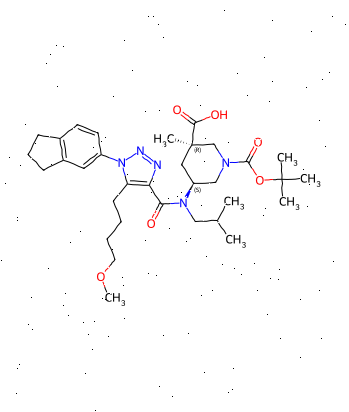 COCCCCc1c(C(=O)N(CC(C)C)[C@@H]2CN(C(=O)OC(C)(C)C)C[C@](C)(C(=O)O)C2)nnn1-c1ccc2c(c1)CCC2